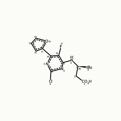 CC(C)(C)[C@@H](CC(=O)O)Nc1nc(Cl)nc(-c2ccco2)c1F